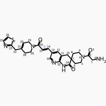 NCC(=O)N1CCC2(CC1)Cc1cc(/C=C/C(=O)N3CC=C(Cc4nccs4)CC3)cnc1NC2=O